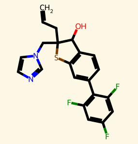 C=CCC1(Cn2ccnc2)Sc2cc(-c3c(F)cc(F)cc3F)ccc2C1O